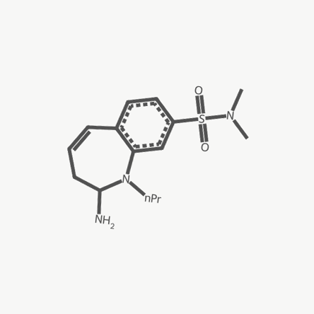 CCCN1c2cc(S(=O)(=O)N(C)C)ccc2C=CCC1N